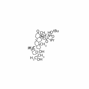 CC(C)[C@H](NC(=O)OC(C)(C)C)C(=O)O[C@H]1CC2[C@]3(CC[C@]4(C)[C@@H]([C@@]5(C)CC[C@@H](C(C)(C)O)O5)[C@@H](O)C[C@@]24C)C[C@@]32CCC(=O)C(C)(C)[C@H]12